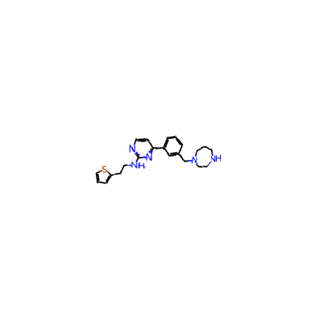 c1cc(CN2CCCNCC2)cc(-c2ccnc(NCCc3cccs3)n2)c1